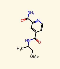 COCC(C)NC(=O)c1[c]c(C(N)=O)ncc1